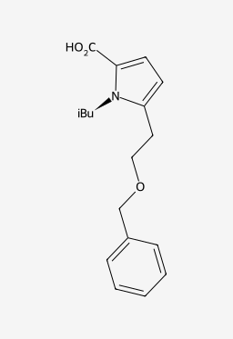 CC[C@H](C)n1c(CCOCc2ccccc2)ccc1C(=O)O